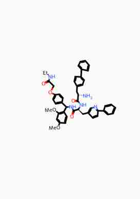 CCNC(=O)COc1ccc(C(NC(=O)[C@H](Cc2ccc(-c3ccccc3)nc2)NC(=O)[C@@H](N)Cc2ccc(-c3ccccc3)cc2)c2ccc(OC)cc2OC)cc1